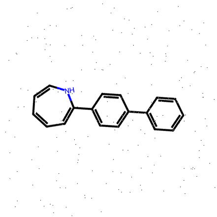 [c]1ccc(-c2ccc(C3=CC=CC=CN3)cc2)cc1